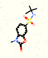 Cn1c(=O)oc2cc(S(=O)(=O)NC(C)(C)C)ccc21